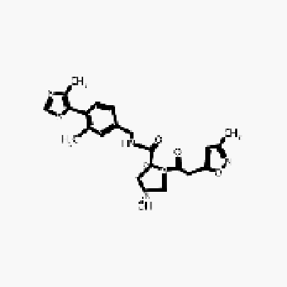 Cc1cc(CC(=O)N2C[C@H](O)C[C@H]2C(=O)NCc2ccc(-c3scnc3C)c(C)c2)on1